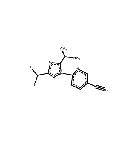 C[C@@H](N)c1nc(C(F)F)nn1-c1ccc(C#N)cn1